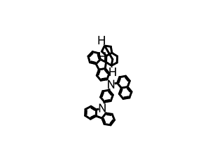 c1ccc2c(c1)-c1ccc(N(c3ccc(-n4c5ccccc5c5ccccc54)cc3)c3cccc4ccccc34)cc1C21[C@H]2CCC3C[C@@H](C2)C[C@H]31